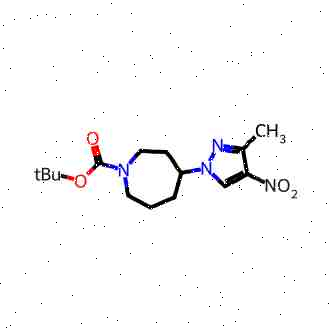 Cc1nn(C2CCCN(C(=O)OC(C)(C)C)CC2)cc1[N+](=O)[O-]